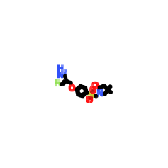 CC1(C)CC(=O)N(CS(=O)(=O)c2ccc(OCC(=CF)CN)cc2)C1